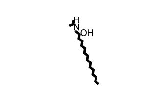 CCCCCCCCCCCCCCC(O)CNC(C)C